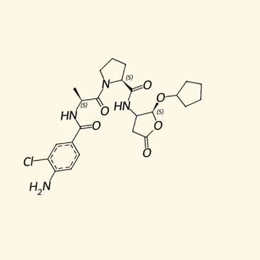 C[C@H](NC(=O)c1ccc(N)c(Cl)c1)C(=O)N1CCC[C@H]1C(=O)NC1CC(=O)O[C@@H]1OC1CCCC1